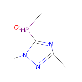 Cc1nc([PH](C)=O)n(C)n1